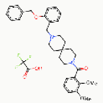 COc1cccc(C(=O)N2CCC3(CCN(Cc4ccccc4OCc4ccccc4)CC3)CC2)c1OC.O=C(O)C(F)(F)F